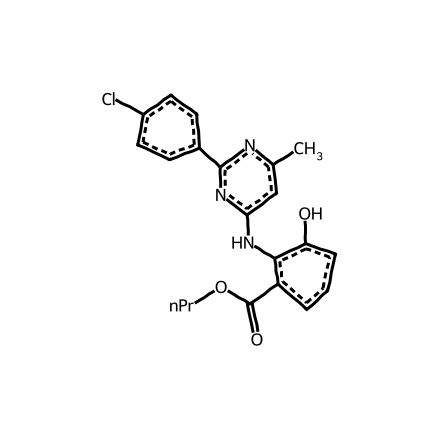 CCCOC(=O)c1cccc(O)c1Nc1cc(C)nc(-c2ccc(Cl)cc2)n1